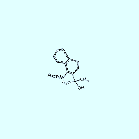 CC(=O)Nc1c(C(C)(C)O)ccc2ccccc12